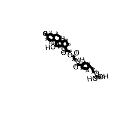 C[C@]12C[C@H](O)C3(F)[C@@H](CCC4=CC(=O)C=C[C@@]43C)C1CCC2C(=O)COC(=O)CNC(=O)c1ccc(CCON(O)O)cc1